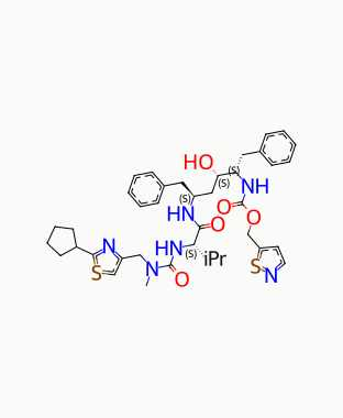 CC(C)[C@H](NC(=O)N(C)Cc1csc(C2CCCC2)n1)C(=O)N[C@@H](Cc1ccccc1)C[C@H](O)[C@H](Cc1ccccc1)NC(=O)OCc1ccns1